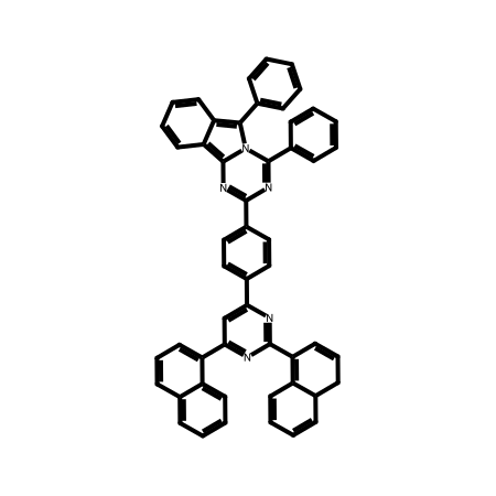 C1=CC2=C(c3nc(-c4ccc(-c5nc(-c6ccccc6)n6c(-c7ccccc7)c7ccccc7c6n5)cc4)cc(-c4cccc5ccccc45)n3)C=CCC2C=C1